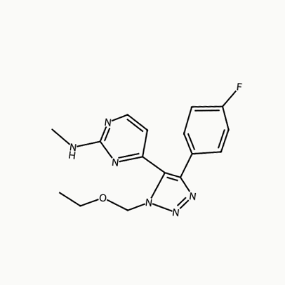 CCOCn1nnc(-c2ccc(F)cc2)c1-c1ccnc(NC)n1